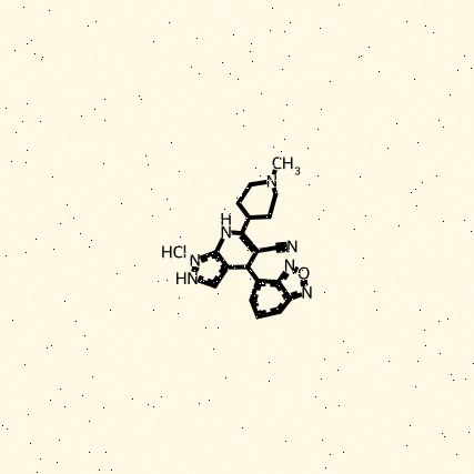 CN1CCC(C2=C(C#N)C(c3cccc4nonc34)c3c[nH]nc3N2)CC1.Cl